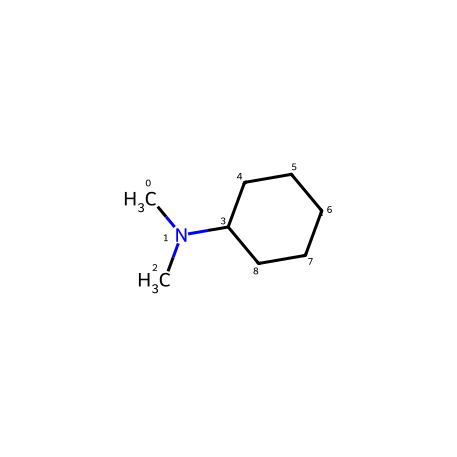 CN(C)C1CC[CH]CC1